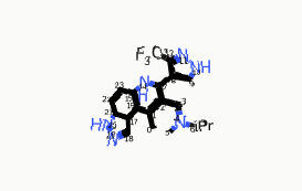 CC1=C(CN(C)C(C)C)C(c2c[nH]nc2C(F)(F)F)NC2=C1C1C=NNC1C=C2